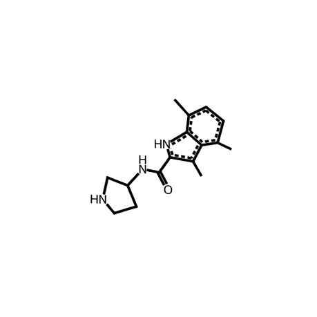 Cc1ccc(C)c2c(C)c(C(=O)NC3CCNC3)[nH]c12